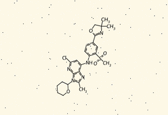 Cc1nc2c(Nc3ccc(C4=NC(C)(C)CO4)cc3S(C)(=O)=O)cc(Cl)nc2n1C1CCCCO1